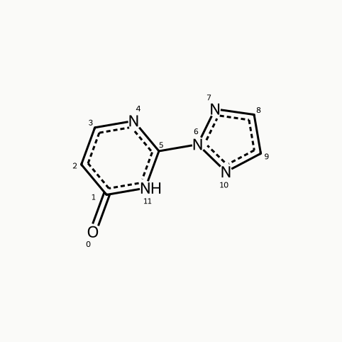 O=c1ccnc(-n2nccn2)[nH]1